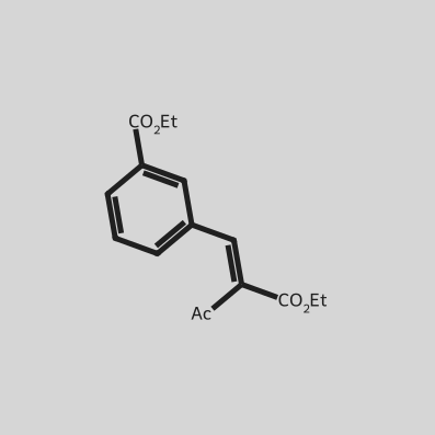 CCOC(=O)/C(=C/c1cccc(C(=O)OCC)c1)C(C)=O